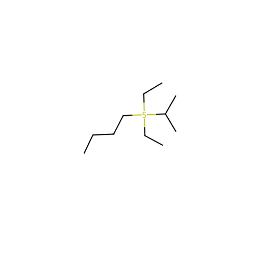 CCCCS(CC)(CC)C(C)C